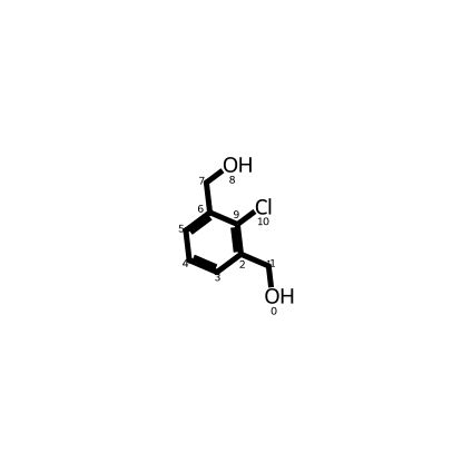 O[CH]c1cccc(CO)c1Cl